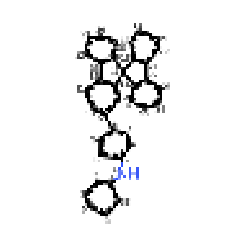 c1ccc(Nc2ccc(-c3ccc4c(c3)C3(c5ccccc5-c5ccccc53)c3ccccc3-4)cc2)cc1